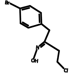 ON=C(CCCl)Cc1ccc(Br)cc1